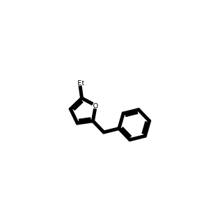 CCc1ccc(Cc2ccccc2)o1